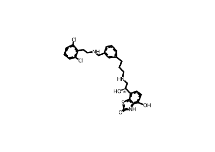 O=c1[nH]c2c(O)ccc([C@@H](O)CNCCCc3cccc(CNCCc4c(Cl)cccc4Cl)c3)c2s1